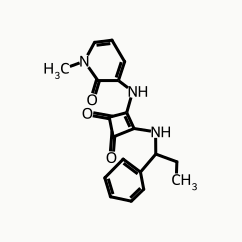 CCC(Nc1c(Nc2cccn(C)c2=O)c(=O)c1=O)c1ccccc1